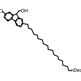 CCCCCCCCCCCCCCCCCCCCCCCCCCCCc1ccc2c(c1)C(CO)c1cc(Cl)ccc1-2